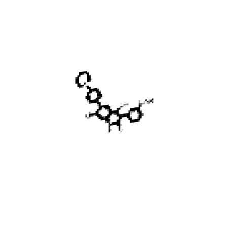 COc1cccc(-c2c(O)c3cc(-c4ccc(N5CCCCC5)cc4)c(Cl)cc3[nH]c2=O)c1